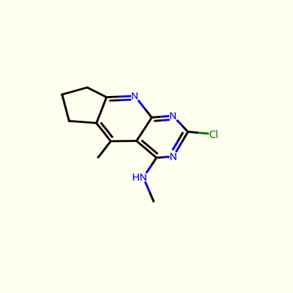 CNc1nc(Cl)nc2nc3c(c(C)c12)CCC3